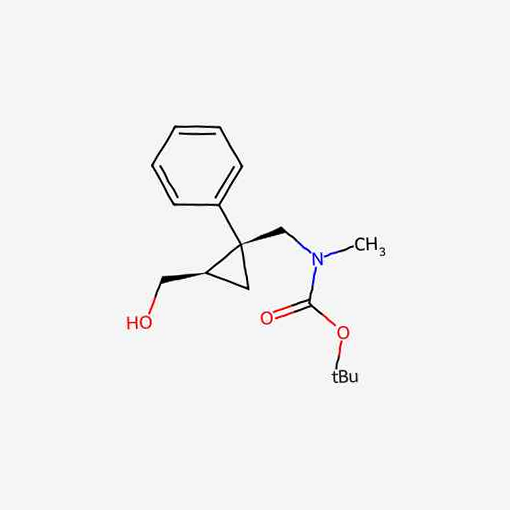 CN(C[C@@]1(c2ccccc2)C[C@H]1CO)C(=O)OC(C)(C)C